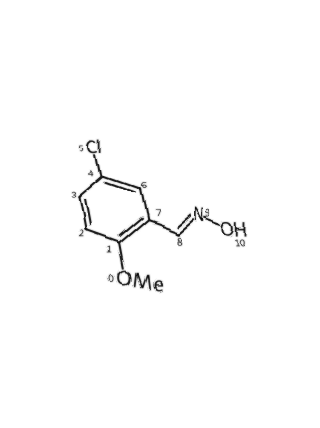 COc1ccc(Cl)cc1C=NO